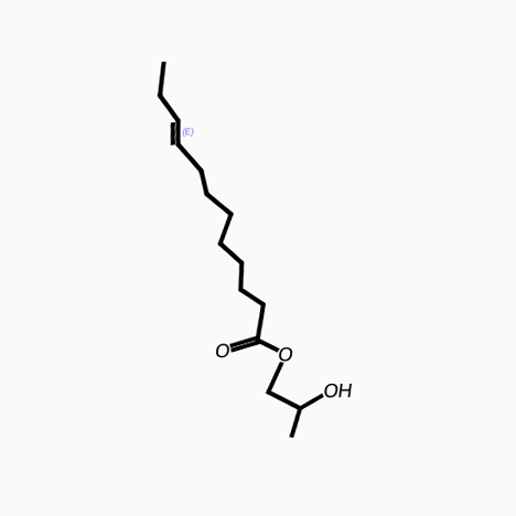 CC/C=C/CCCCCCCC(=O)OCC(C)O